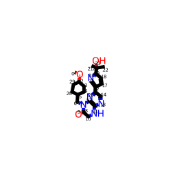 COC1CCC(CN2C(=O)CNc3ncc(-c4ccc(C(C)(C)O)nc4)nc32)CC1